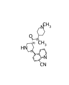 C[C@H](C(=O)[C@H]1CNC[C@H](c2ccc(C#N)c3ncccc23)C1)C1CCN(C)CC1